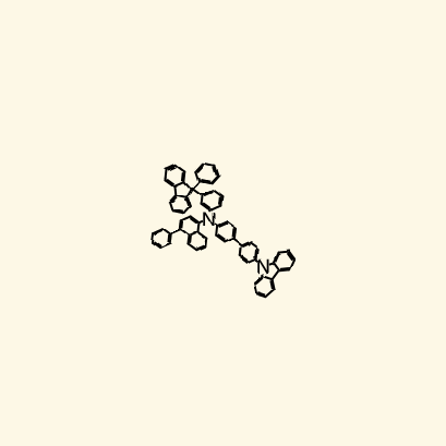 c1ccc(-c2ccc(N(c3ccc(-c4ccc(-n5c6ccccc6c6ccccc65)cc4)cc3)c3cccc(C4(c5ccccc5)c5ccccc5-c5ccccc54)c3)c3ccccc23)cc1